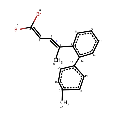 C/C(=C\C=C(Br)Br)c1ccccc1-c1ccc(C)cc1